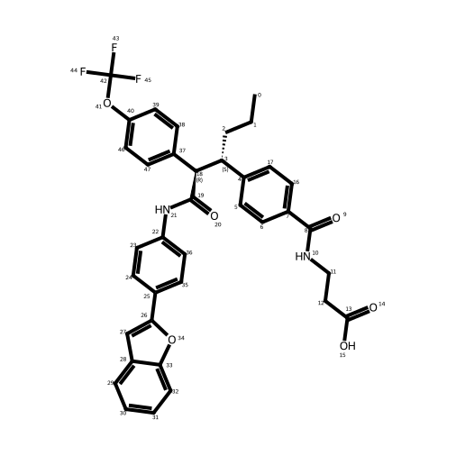 CCC[C@H](c1ccc(C(=O)NCCC(=O)O)cc1)[C@@H](C(=O)Nc1ccc(-c2cc3ccccc3o2)cc1)c1ccc(OC(F)(F)F)cc1